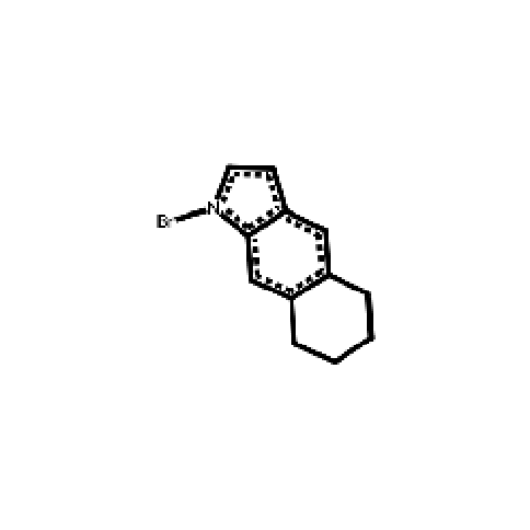 Brn1ccc2cc3c(cc21)CCCC3